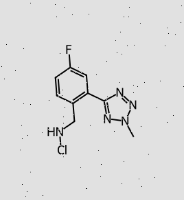 Cn1nnc(-c2cc(F)ccc2CNCl)n1